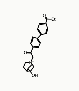 CCC(=O)c1ccc(-c2ccc(C(=O)C[N+]34CCC(CC3)C(O)C4)cc2)cc1